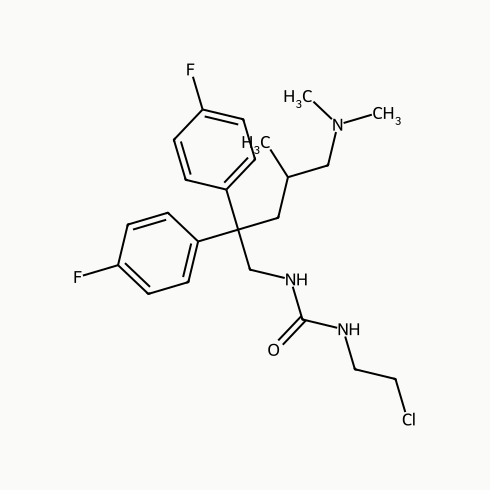 CC(CN(C)C)CC(CNC(=O)NCCCl)(c1ccc(F)cc1)c1ccc(F)cc1